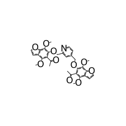 COc1c(C(C)=O)c(OCc2ccnc(COc3c(C(C)=O)c(OC)c4ccoc4c3OC)c2)c(OC)c2occc12